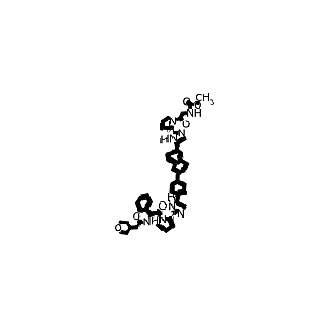 COC(=O)NCC(=O)N1CCC[C@H]1c1ncc(-c2ccc3cc(-c4ccc(-c5cnc([C@@H]6CCCN6C(=O)[C@H](NC(=O)CC6CCOCC6)c6ccccc6)[nH]5)cc4)ccc3c2)[nH]1